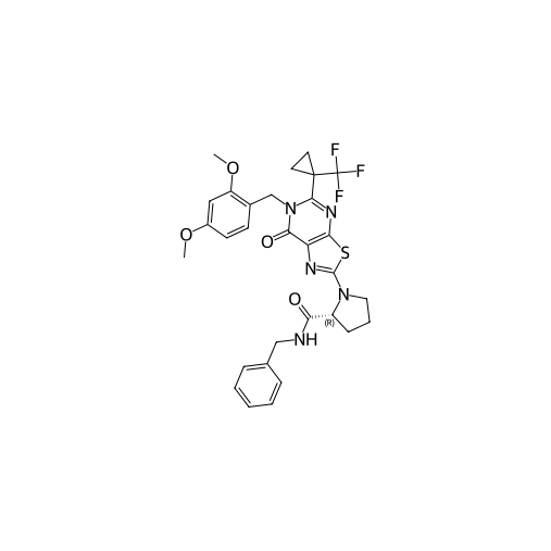 COc1ccc(Cn2c(C3(C(F)(F)F)CC3)nc3sc(N4CCC[C@@H]4C(=O)NCc4ccccc4)nc3c2=O)c(OC)c1